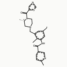 Cc1ccc(C(=O)Nc2cc(F)cc(CN3CCN(C(=O)c4cncs4)[C@@H](C)C3)c2C)cn1